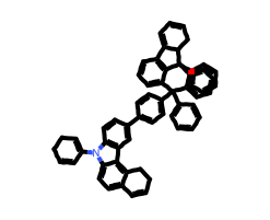 C1=CCC2C(=C1)c1cccc3c1C2(c1ccccc1)c1ccccc1C3(c1ccccc1)c1ccc(-c2ccc3c(c2)c2c4c(ccc2n3C2=CCCC=C2)C=CCC4)cc1